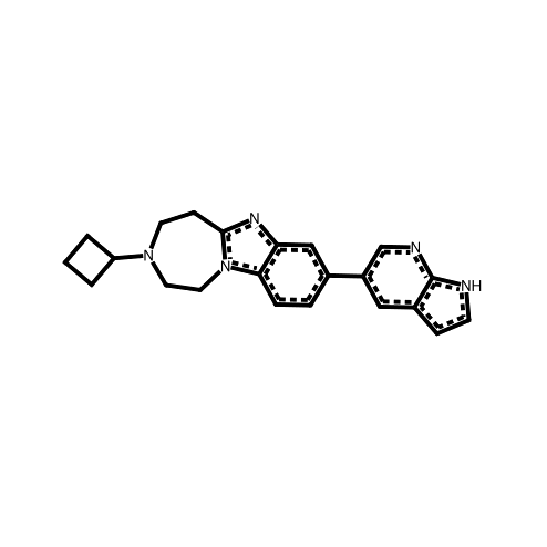 c1cc2cc(-c3ccc4c(c3)nc3n4CCN(C4CCC4)CC3)cnc2[nH]1